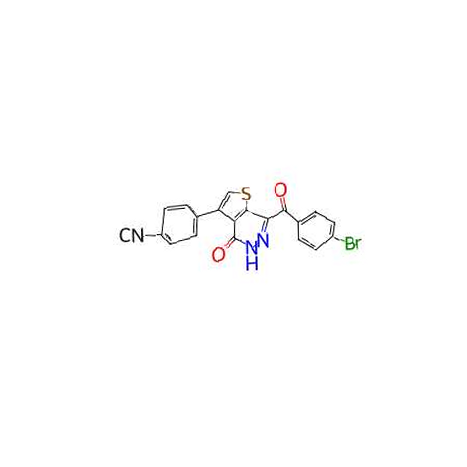 [C-]#[N+]c1ccc(-c2csc3c(C(=O)c4ccc(Br)cc4)n[nH]c(=O)c23)cc1